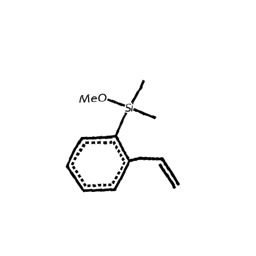 C=Cc1ccccc1[Si](C)(C)OC